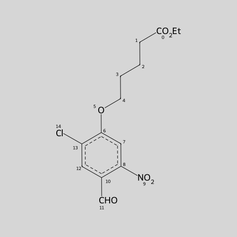 CCOC(=O)CCCCOc1cc([N+](=O)[O-])c(C=O)cc1Cl